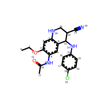 CCOc1cc2c(cc1NC(C)=O)C(Nc1ccc(Cl)cc1)C(C#N)CN2